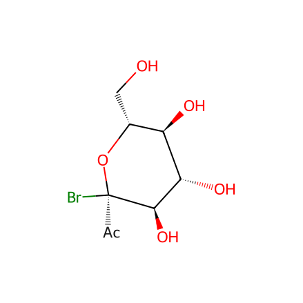 CC(=O)[C@]1(Br)O[C@H](CO)[C@@H](O)[C@H](O)[C@H]1O